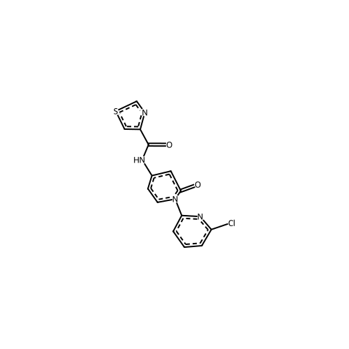 O=C(Nc1ccn(-c2cccc(Cl)n2)c(=O)c1)c1cscn1